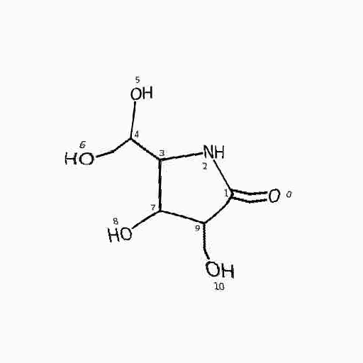 O=C1NC(C(O)O)C(O)C1O